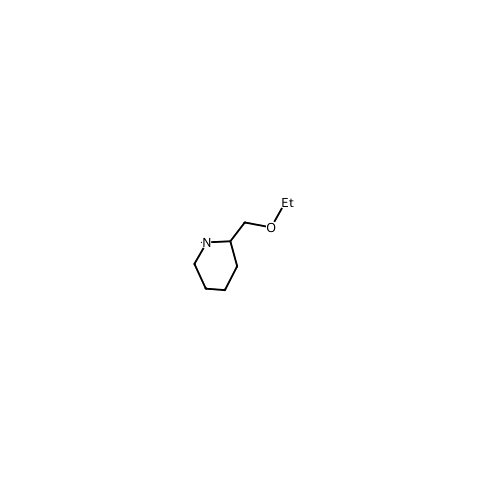 CCOCC1CCCC[N]1